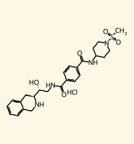 CS(=O)(=O)N1CCC(NC(=O)c2ccc(C(=O)NC[C@@H](O)[C@@H]3Cc4ccccc4CN3)cc2)CC1.Cl